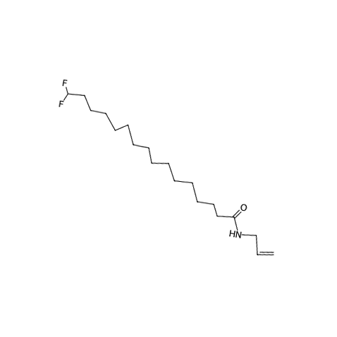 C=CCNC(=O)CCCCCCCCCCCCCCC(F)F